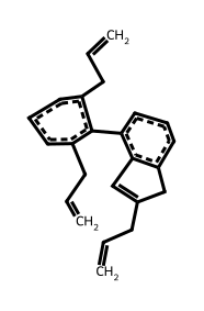 C=CCC1=Cc2c(cccc2-c2c(CC=C)cccc2CC=C)C1